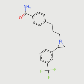 NC(=O)c1ccc(CCCN2CC2c2cccc(C(F)(F)F)c2)cc1